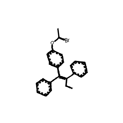 CC/C(=C(\c1ccccc1)c1ccc(OC(C)Br)cc1)c1ccccc1